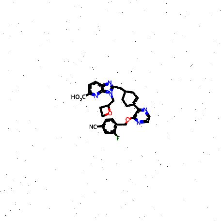 N#Cc1ccc(COc2nccnc2C2=CCC(Cc3nc4ccc(C(=O)O)nc4n3CC3CCO3)CC2)c(F)c1